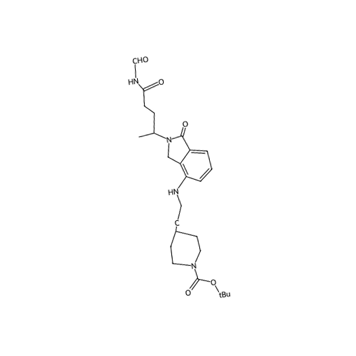 CC(CCC(=O)NC=O)N1Cc2c(NCCC3CCN(C(=O)OC(C)(C)C)CC3)cccc2C1=O